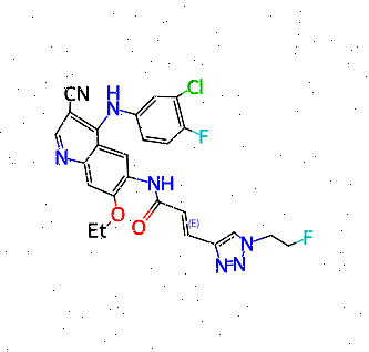 CCOc1cc2ncc(C#N)c(Nc3ccc(F)c(Cl)c3)c2cc1NC(=O)/C=C/c1cn(CCF)nn1